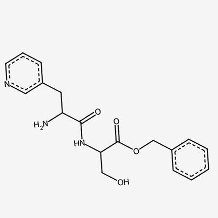 NC(Cc1cccnc1)C(=O)NC(CO)C(=O)OCc1ccccc1